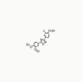 CCOc1ccc(-c2nc(-c3ccc(OC(C)C)c(I)c3)no2)cc1OCC